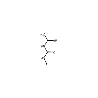 CC(S)NC(=O)NF